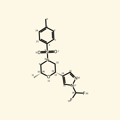 Cc1ccc(S(=O)(=O)N2C[C@@H](C)O[C@@H](c3cnn(C(F)F)c3)C2)cc1